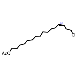 CC(=O)OCCCCCCCCCCCC/C=C\CCCl